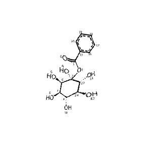 O=C(O[C@]1(O)[C@H](O)[C@H](O)[C@@H](O)[C@H](O)[C@H]1O)c1ccccc1